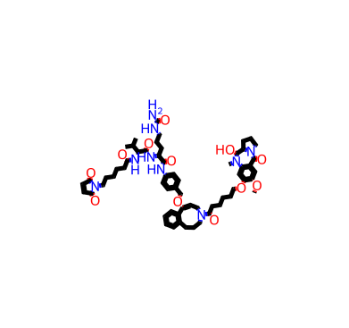 COc1cc2c(cc1OCCCCCC(=O)N1C/C=C(/OCc3ccc(NC(=O)C(CCCNC(N)=O)NC(=O)[C@@H](NC(=O)CCCCCN4C(=O)C=CC4=O)C(C)C)cc3)c3ccccc3CCC1)N(C)C(O)C1CCCN1C2=O